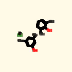 CC(C)(C)c1cc(O)cc(C(C)(C)C)c1.CC(C)(C)c1cccc(C(C)(C)C)c1O.Cl.[Zr]